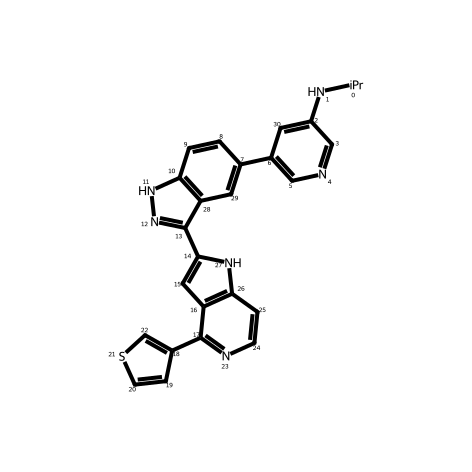 CC(C)Nc1cncc(-c2ccc3[nH]nc(-c4cc5c(-c6ccsc6)nccc5[nH]4)c3c2)c1